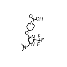 CN(C)Cc1cc(OC2CCN(C(=O)O)CC2)nc(C(F)(F)F)n1